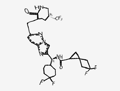 O=C1NC[C@H](C(F)(F)F)CC1Cc1ccc2nc([C@@H](NC(=O)C3CC34CC(F)(F)C4)C3CCC(F)(F)CC3)cn2n1